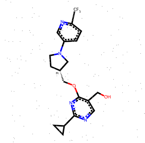 OCc1cnc(C2CC2)nc1OC[C@@H]1CCN(c2ccc(C(F)(F)F)nc2)C1